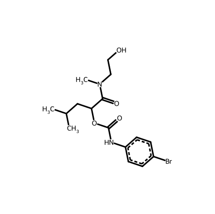 CC(C)CC(OC(=O)Nc1ccc(Br)cc1)C(=O)N(C)CCO